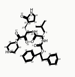 CC(C)C[C@H](NC(=O)OC(Cc1ccccc1)c1ccccc1)C(=O)N[C@@H](C[C@@H]1CCNC1=O)C(=O)C(=O)N1CCNCC1